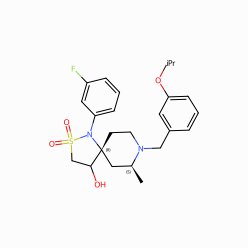 CC(C)Oc1cccc(CN2CC[C@@]3(C[C@@H]2C)C(O)CS(=O)(=O)N3c2cccc(F)c2)c1